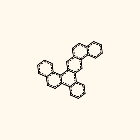 c1ccc2c(c1)ccc1cc3c(cc12)c1ccccc1c1ccc2ccccc2c13